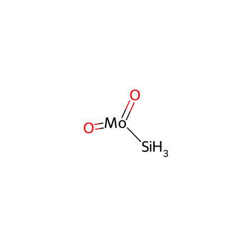 [O]=[Mo](=[O])[SiH3]